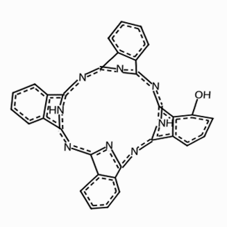 Oc1cccc2c3nc4nc(nc5[nH]c(nc6nc(nc([nH]3)c12)-c1ccccc1-6)c1ccccc51)-c1ccccc1-4